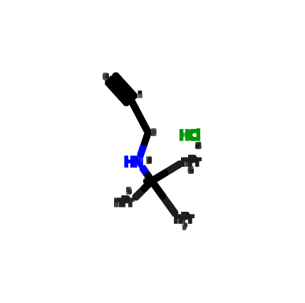 C#CCNC(CCC)(CCC)CCC.Cl